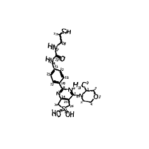 CC1COCCN1c1nc(-c2ccc(NC(=O)NCCO)cc2)nc2c1CS(O)(O)C2